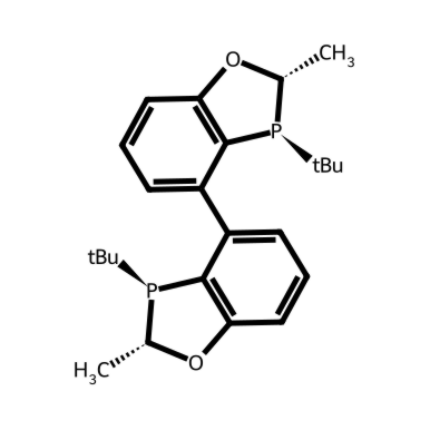 C[C@H]1Oc2cccc(-c3cccc4c3[P@](C(C)(C)C)[C@@H](C)O4)c2[P@]1C(C)(C)C